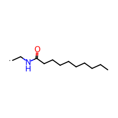 [CH2]CNC(=O)CCCCCCCCC